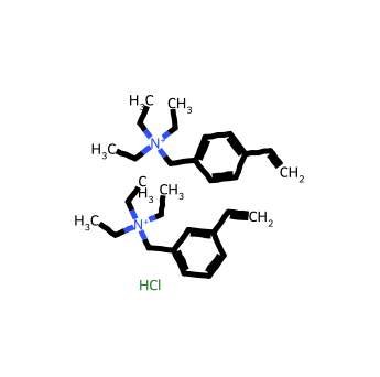 C=Cc1ccc(C[N+](CC)(CC)CC)cc1.C=Cc1cccc(C[N+](CC)(CC)CC)c1.Cl